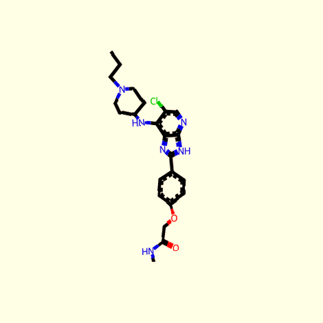 CCCN1CCC(Nc2c(Cl)cnc3[nH]c(-c4ccc(OCC(=O)NC)cc4)nc23)CC1